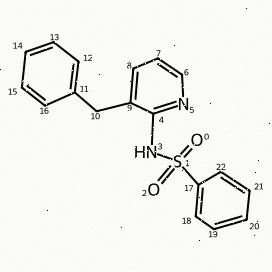 O=S(=O)(Nc1ncccc1Cc1ccccc1)c1ccccc1